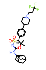 CC1(C)OC(NC23CC4CC(CC2C4)C3)=NS(=O)(=O)[C@H]1c1ccc(C2CCN(CCC(F)(F)F)CC2)cc1